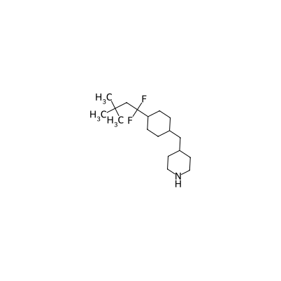 CC(C)(C)CC(F)(F)C1CCC(CC2CCNCC2)CC1